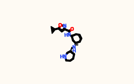 O=C(N[C@H]1CC=CC[C@H](NC[C@@H]2CCCCNC2)C1)c1cc(C2CC2)on1